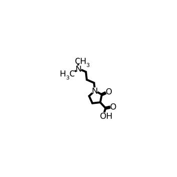 CN(C)CCCN1CCC(C(=O)O)C1=O